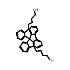 OCCCCCc1ccccc1C1(c2ccccc2CCCCCO)c2ccccc2-c2ccccc21